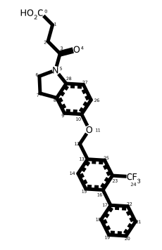 O=C(O)CCC(=O)N1CCc2cc(OCc3ccc(-c4ccccc4)c(C(F)(F)F)c3)ccc21